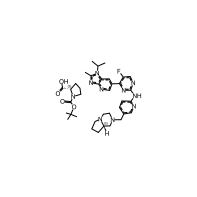 CC(C)(C)OC(=O)N1CCC[C@H]1C(=O)O.Cc1nc2ncc(-c3nc(Nc4ccc(CN5CCN6CCC[C@H]6C5)cn4)ncc3F)cc2n1C(C)C